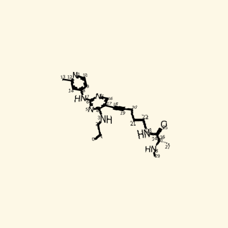 CCCNc1nc(Nc2ccnc(C)c2)ncc1C#CCCCNC(=O)[C@H](C)NC